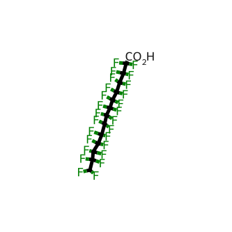 O=C(O)C(F)(F)C(F)(F)C(F)(F)C(F)(F)C(F)(F)C(F)(F)C(F)(F)C(F)(F)C(F)(F)C(F)(F)C(F)(F)C(F)(F)C(F)F